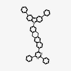 c1ccc(-c2ccc3c(c2)c2cc(-c4ccccc4)ccc2n3-c2ccc3c(c2)Cc2cc4ccc(-c5cc(-c6ccccc6)nc(-c6ccccc6)n5)cc4cc2C3)cc1